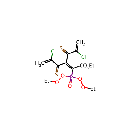 C=C(Cl)C(=S)C(C(=S)C(=C)Cl)=C(C(=O)OCC)P(=O)(OOCC)OOCC